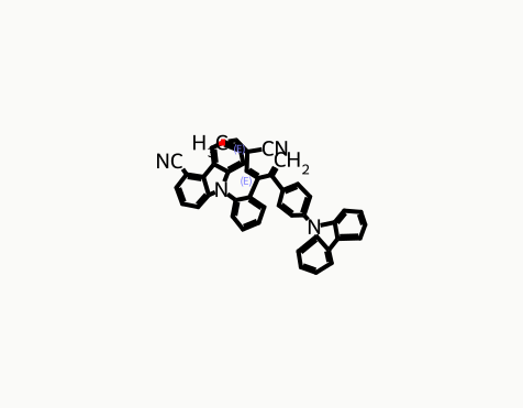 C=C(/C(=C\C(C#N)=C/C)c1ccccc1-n1c2ccccc2c2c(C#N)cccc21)c1ccc(-n2c3ccccc3c3ccccc32)cc1